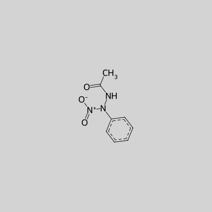 CC(=O)NN(c1ccccc1)[N+](=O)[O-]